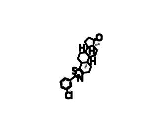 C[C@]12CCc3nc(-c4cccc(Cl)c4)sc3C1CC[C@@H]1[C@@H]2CC[C@]2(C)C(=O)CC[C@@H]12